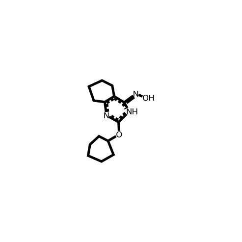 ON=c1[nH]c(OC2CCCCC2)nc2c1CCCC2